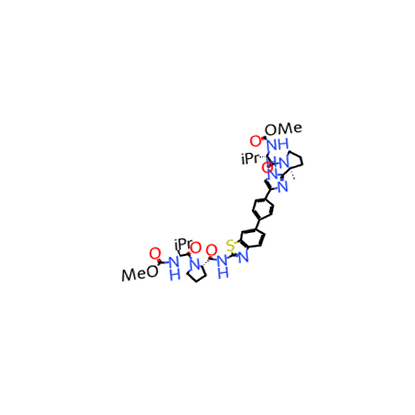 COC(=O)N[C@H](C(=O)N1CCC[C@H]1C(=O)Nc1nc2ccc(-c3ccc(-c4c[nH]c([C@]5(C)CCCN5C(=O)[C@@H](NC(=O)OC)C(C)C)n4)cc3)cc2s1)C(C)C